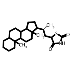 C[C@H](CC1SC(=O)NC1=O)C1CCC2C3CCC4CCCCC4(C)C3CCC21C